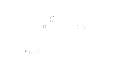 CCOC(=O)c1cc(C(=O)O)[nH]n1